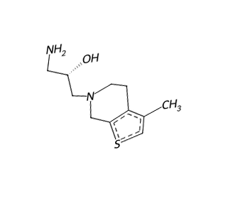 Cc1csc2c1CCN(C[C@@H](O)CN)C2